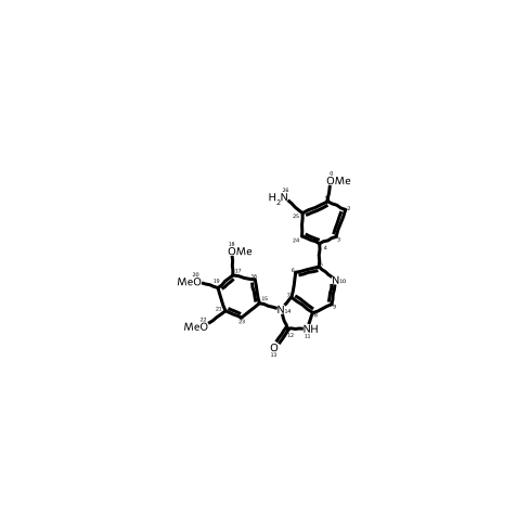 COc1ccc(-c2cc3c(cn2)[nH]c(=O)n3-c2cc(OC)c(OC)c(OC)c2)cc1N